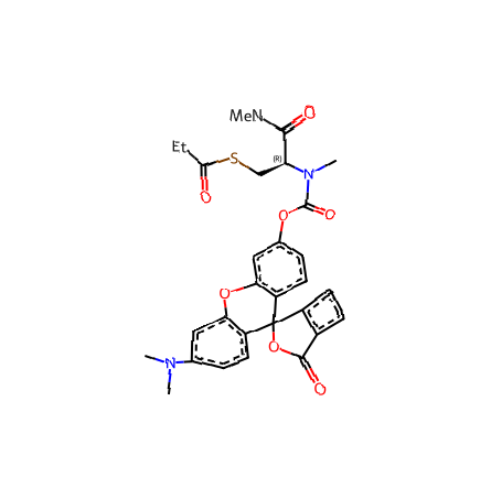 CCC(=O)SC[C@@H](C(=O)NC)N(C)C(=O)Oc1ccc2c(c1)Oc1cc(N(C)C)ccc1C21OC(=O)c2ccccc21